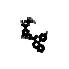 CC(C)(C)OC(=O)N1CC(F)C(O)(CNC(=O)N2CCc3ccccc3[C@@H]2c2ccc(F)cc2)C1